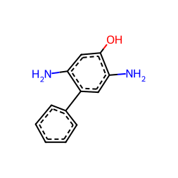 Nc1cc(-c2ccccc2)c(N)cc1O